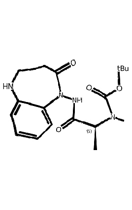 C[C@@H](C(=O)NN1C(=O)CCNc2ccccc21)N(C)C(=O)OC(C)(C)C